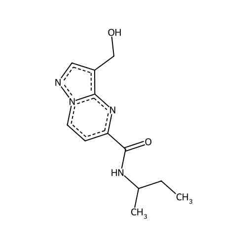 CCC(C)NC(=O)c1ccn2ncc(CO)c2n1